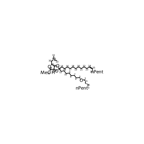 CCCCCC=C=COCCCCCCCCC1(CCCCCCCCCC/C=C\CCCCC)OC2C(CN(C)C)OC(OC)[C@@H]2O1